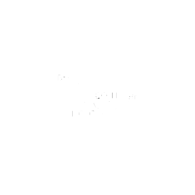 O=C(O)C(CCCCCBr)=C(CCCCCBr)C(=O)O